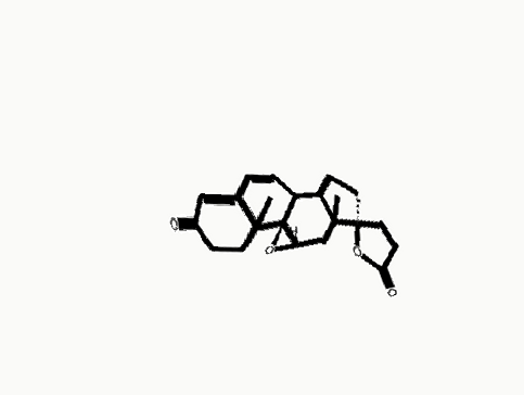 CC12C[C@H]3O[C@@]34C(C=CC3=CC(=O)CCC34C)C1CC[C@@]21CCC(=O)O1